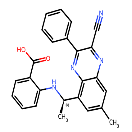 Cc1cc([C@@H](C)Nc2ccccc2C(=O)O)c2nc(-c3ccccc3)c(C#N)nc2c1